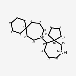 C1CCC2(CC1)CCCN(C1CCCNCC13CCCC3)CC2